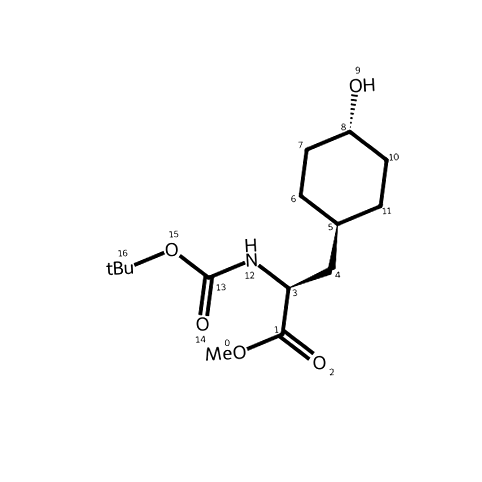 COC(=O)[C@H](C[C@H]1CC[C@H](O)CC1)NC(=O)OC(C)(C)C